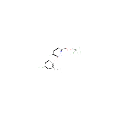 Cc1cc(Br)ccc1Oc1nc(COCC(Cl)(Cl)Cl)ccc1F